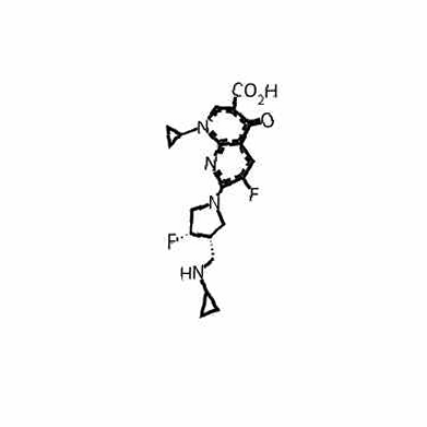 O=C(O)c1cn(C2CC2)c2nc(N3C[C@H](CNC4CC4)[C@H](F)C3)c(F)cc2c1=O